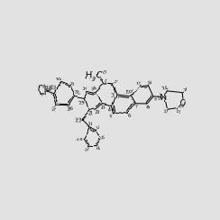 CC1Cc2c(ccc3cc(N4CCOCC4)ccc23)C2=CC(Cc3ccccc3)C(c3ccc(Cl)cc3)C=C21